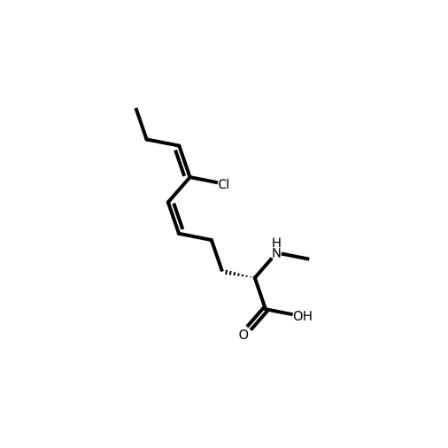 CC/C=C(Cl)\C=C/CC[C@H](NC)C(=O)O